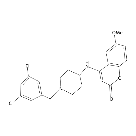 COc1ccc2oc(=O)cc(NC3CCN(Cc4cc(Cl)cc(Cl)c4)CC3)c2c1